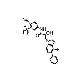 N#Cc1ccc(NC(=O)[C@@H](O)Cn2ccc3c(F)c(-c4ccccc4)ccc32)cc1C(F)(F)F